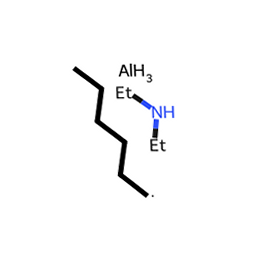 CCNCC.[AlH3].[CH2]CCCCC